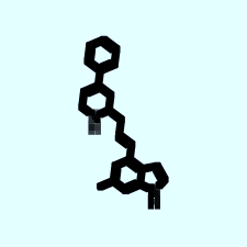 Cc1cc(C=CCC2CC(c3ccccc3)=CCN2)c2cc[nH]c2c1